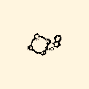 COc1ccc2ccccc2c1-c1cc2cc3nc(cc4ccc(cc5nc(cc1[nH]2)C=C5)[nH]4)C=C3